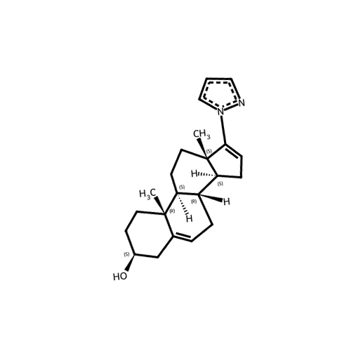 C[C@]12CC[C@H](O)CC1=CC[C@@H]1[C@@H]2CC[C@]2(C)C(n3cccn3)=CC[C@@H]12